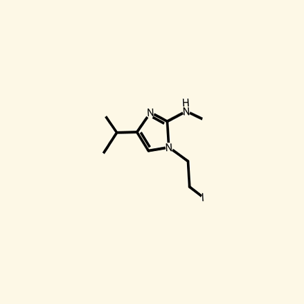 CNc1nc(C(C)C)cn1CCI